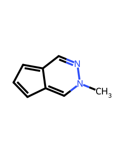 Cn1cc2cccc-2cn1